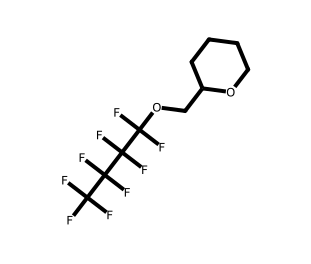 FC(F)(F)C(F)(F)C(F)(F)C(F)(F)OCC1CCCCO1